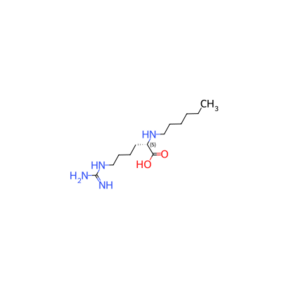 CCCCCCN[C@@H](CCCCNC(=N)N)C(=O)O